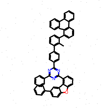 Cc1c(-c2ccc(-c3nc(-c4ccccc4)nc(-c4cccc5oc6ccc(-c7ccccc7)cc6c45)n3)cc2)cccc1-c1cccc(-c2ccccc2-c2ccccc2)c1C